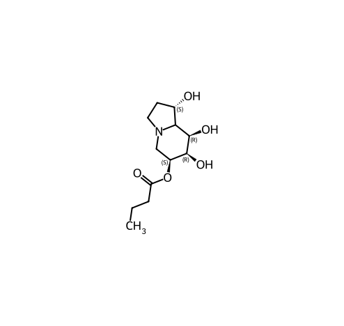 CCCC(=O)O[C@H]1CN2CC[C@H](O)C2[C@@H](O)[C@H]1O